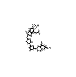 Cn1c(CN2CCC(c3cccc(N4CCc5cc(C#N)cc(F)c5C4)n3)CC2)nc2c(OC(F)F)cc(C(=O)O)cc21